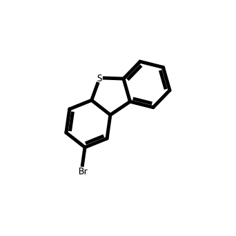 BrC1=CC2c3ccccc3SC2C=C1